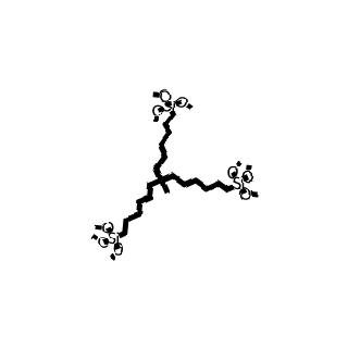 CO[Si](CCCCCCC(C)(CCCCCC[Si](OC)(OC)OC)CCCCCC[Si](OC)(OC)OC)(OC)OC